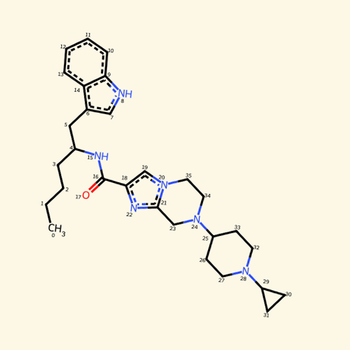 CCCCC(Cc1c[nH]c2ccccc12)NC(=O)c1cn2c(n1)CN(C1CCN(C3CC3)CC1)CC2